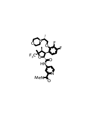 CNC(=O)c1cc(NC(=O)[C@@H]2O[C@@](C)(C(F)(F)F)[C@@H](C)[C@H]2c2ccc(F)c(F)c2OC[C@@H](C)N2CCOCC2)ccn1